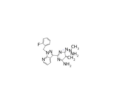 C=C1C(N)=NC(c2nn(Cc3ccccc3F)c3ncccc23)=N/C1=N/N(C)N